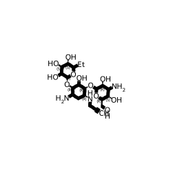 C#CCN[C@@H]1CC(N)[C@@H](O[C@H]2OC(CC)[C@@H](O)[C@H](O)C2O)C(O)[C@@H]1OC1O[C@H](CO)[C@@H](O)C(N)[C@H]1O